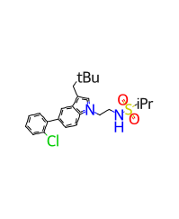 CC(C)S(=O)(=O)NCCn1cc(CC(C)(C)C)c2cc(-c3ccccc3Cl)ccc21